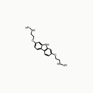 CCCNCCOc1ccc2c(c1)[nH]c1cc(OCCNCCC)ccc12